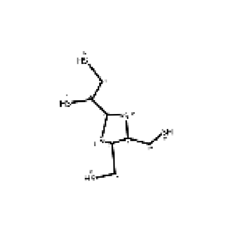 SCC(S)C1SC(CS)C(CS)S1